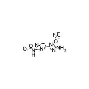 COCC(=O)Nc1cn2cc(-c3cnc(N)c(OCC(F)(F)F)n3)ccc2n1